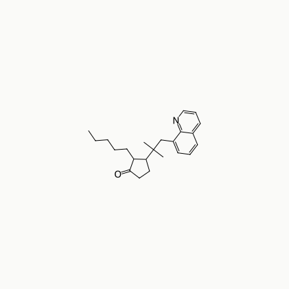 CCCCCC1C(=O)CCC1C(C)(C)Cc1cccc2cccnc12